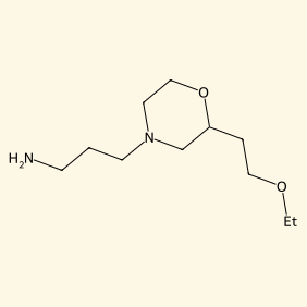 CCOCCC1CN(CCCN)CCO1